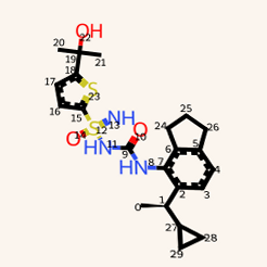 C[C@@H](c1ccc2c(c1NC(=O)NS(=N)(=O)c1ccc(C(C)(C)O)s1)CCC2)C1CC1